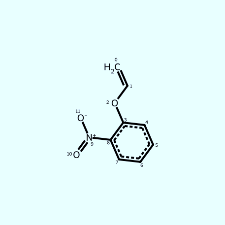 C=COc1ccccc1[N+](=O)[O-]